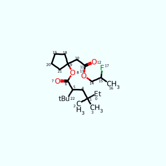 CCC(C)(C)CC(C(=O)OC1(CC(=O)OCC(C)F)CCCC1)C(C)(C)C